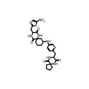 Nc1cnc(CC2NC(=O)C3(CCCC(Nc4ccc(CC5NC(=O)C6(CCCC6)NC5=O)nc4)C3)NC2=O)s1